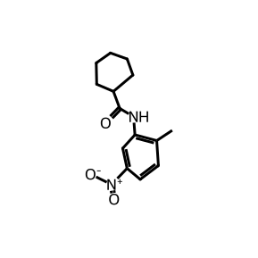 Cc1ccc([N+](=O)[O-])cc1NC(=O)C1CCCCC1